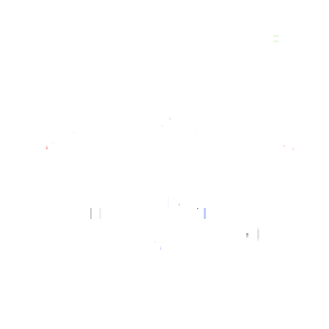 COC(=O)c1cc(Br)c(C(C=O)NN(c2ccc(Oc3ccc(F)cc3)cc2)c2c(C)cccc2N2CCCCC2)cc1OC